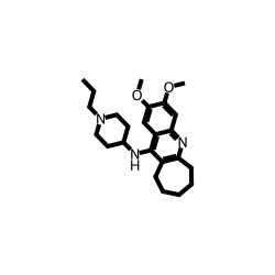 CCCN1CCC(Nc2c3c(nc4cc(OC)c(OC)cc24)CCCCC3)CC1